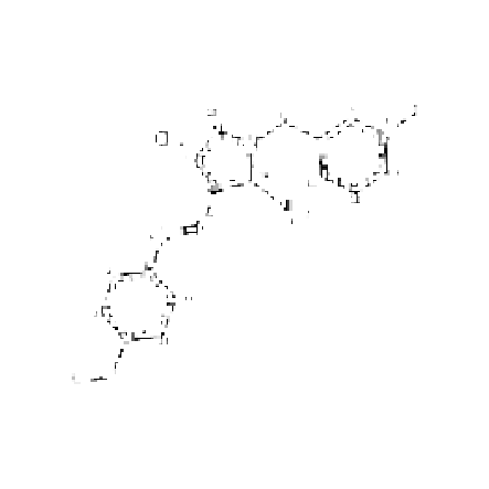 COc1ccc(/N=N/c2cnn(Cc3ccc[n+](C)c3)c2N)cc1.[Cl-]